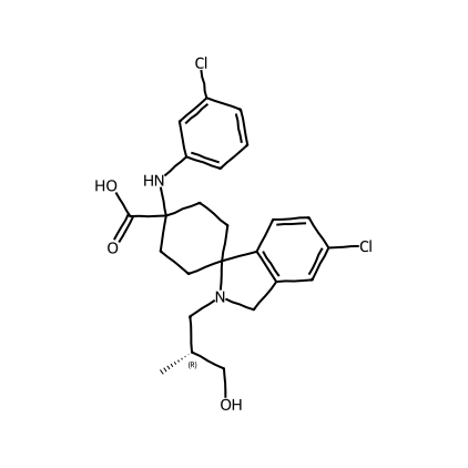 C[C@@H](CO)CN1Cc2cc(Cl)ccc2C12CCC(Nc1cccc(Cl)c1)(C(=O)O)CC2